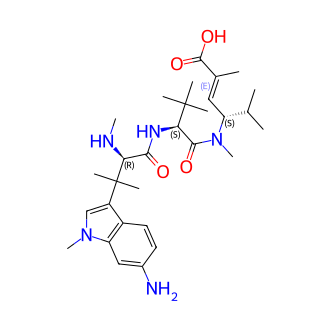 CN[C@@H](C(=O)N[C@H](C(=O)N(C)[C@H](/C=C(\C)C(=O)O)C(C)C)C(C)(C)C)C(C)(C)c1cn(C)c2cc(N)ccc12